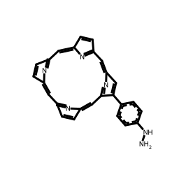 NNc1ccc(C2=CC3=CC4=NC(=CC5=NC(=CC6=NC(=CC2=N3)C=C6)C=C5)C=C4)cc1